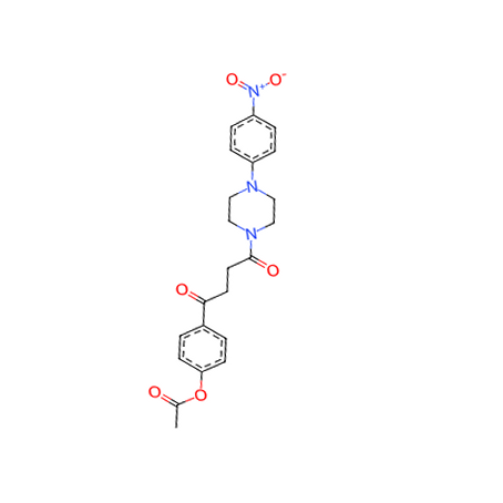 CC(=O)Oc1ccc(C(=O)CCC(=O)N2CCN(c3ccc([N+](=O)[O-])cc3)CC2)cc1